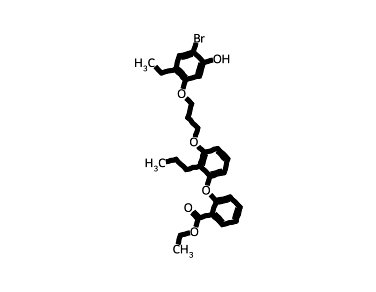 CCCc1c(OCCCOc2cc(O)c(Br)cc2CC)cccc1Oc1ccccc1C(=O)OCC